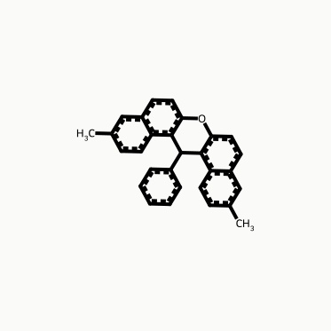 Cc1ccc2c3c(ccc2c1)Oc1ccc2cc(C)ccc2c1C3c1ccccc1